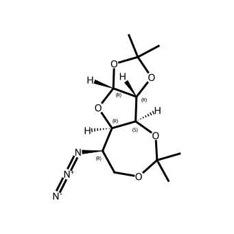 CC1(C)OC[C@@H](N=[N+]=[N-])[C@H]2O[C@@H]3OC(C)(C)O[C@@H]3[C@H]2O1